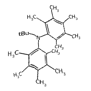 Cc1c(C)c(C)c(N(c2c(C)c(C)c(C)c(C)c2C)C(C)(C)C)c(C)c1C